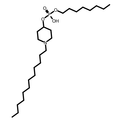 CCCCCCCCCCCCN1CCC(OP(=O)(O)OCCCCCCCC)CC1